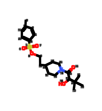 Cc1ccc(S(=O)(=O)OCCC2CCN(C(=O)C(O)C(C)(C)C)CC2)cc1